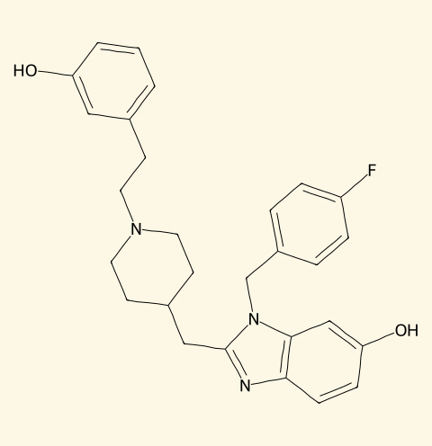 Oc1cccc(CCN2CCC(Cc3nc4ccc(O)cc4n3Cc3ccc(F)cc3)CC2)c1